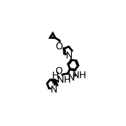 O=C(N[C@@H]1CN2CCC1CC2)c1n[nH]c2ccc(N3C=C(OCC4CC4)CC3)cc12